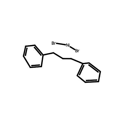 [Br][Ni][Br].c1ccc(CCCc2ccccc2)cc1